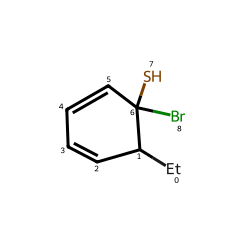 CCC1C=CC=CC1(S)Br